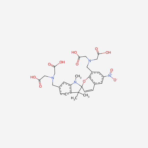 CN1c2cc(CN(CC(=O)O)CC(=O)O)ccc2C(C)(C)C12C=Cc1cc([N+](=O)[O-])cc(CN(CC(=O)O)CC(=O)O)c1O2